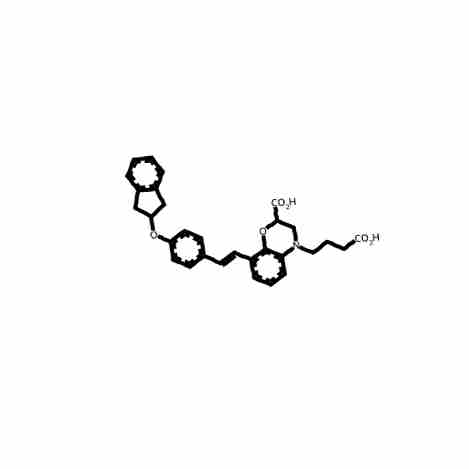 O=C(O)CCCN1CC(C(=O)O)Oc2c(/C=C/c3ccc(OC4Cc5ccccc5C4)cc3)cccc21